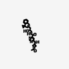 CC(=O)N1CC(Nc2cc(C(=O)NC[C@H](O)CN3Cc4ccccc4C4(CC4)C3)ncn2)C1